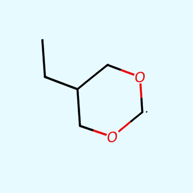 CCC1CO[CH]OC1